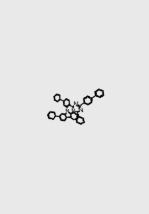 c1ccc(-c2ccc(-c3nc(-c4ccccc4)nc(-c4ccc(-c5ccccc5)cc4-n4c5ccccc5c5ccc(-c6ccccc6)cc54)n3)cc2)cc1